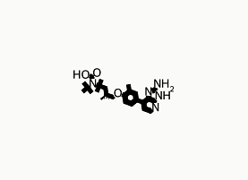 Cc1cc(-c2ccnc3[nH]c(N)nc23)ccc1OC[C@@H](C)CC(C)(C)N(C(=O)O)C(C)(C)C